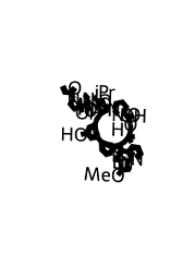 C=CC(=O)N1CCC(O)(C(=O)N(C)[C@H](C(=O)N[C@H]2Cc3cc(O)cc(c3)-c3ccc4c(c3)c(c(-c3cccnc3N3CC(OC)C3)n4CC)CC(C)(C)COC(=O)[C@@]3(O)CCCN(N3)C2=O)C(C)C)C1